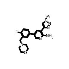 CC(C)n1cc(-c2cc(-c3ccc(F)c(CN4CCOCC4)c3)cnc2N)nn1